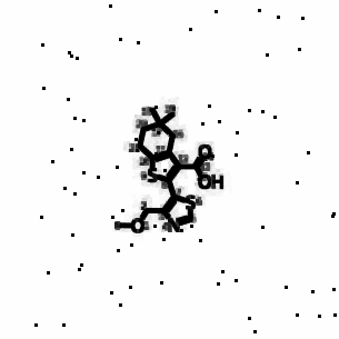 COCc1ncsc1-c1sc2c(c1C(=O)O)CC(C)(C)CC2